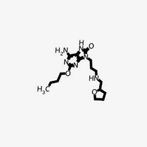 CCCCOc1nc(N)c2[nH]c(=O)n(CCCNCC3CCCO3)c2n1